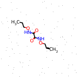 C=CCONC(=O)C(=O)NOCCC